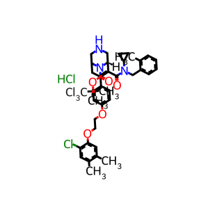 Cc1cc(Cl)c(OCCOc2ccc(C3=C(C(=O)N(Cc4ccccc4C)C4CC4)[C@H]4CNCC(C3)N4C(=O)OC(C)(C)C(Cl)(Cl)Cl)cc2)cc1C.Cl